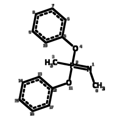 CN=P(C)(Oc1ccccc1)Oc1ccccc1